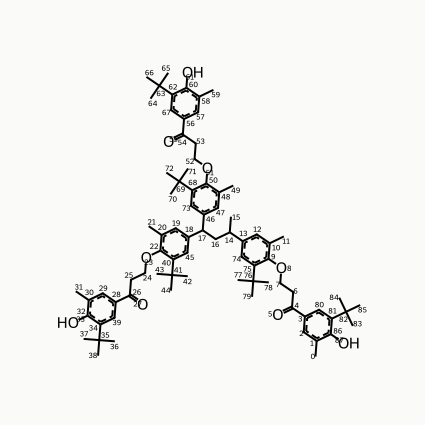 Cc1cc(C(=O)CCOc2c(C)cc(C(C)CC(c3cc(C)c(OCCC(=O)c4cc(C)c(O)c(C(C)(C)C)c4)c(C(C)(C)C)c3)c3cc(C)c(OCCC(=O)c4cc(C)c(O)c(C(C)(C)C)c4)c(C(C)(C)C)c3)cc2C(C)(C)C)cc(C(C)(C)C)c1O